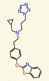 c1ccc2sc(Oc3ccc(CCN(CCCn4ncnn4)CC4CC4)cc3)nc2c1